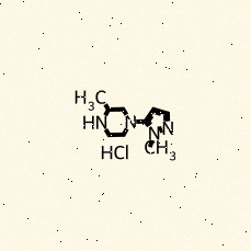 CC1CN(c2ccnn2C)CCN1.Cl